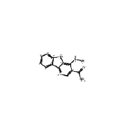 CC(C)Nc1c(C(N)=O)cnc2c1[nH]c1ccccc12